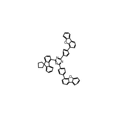 c1ccc2c(c1)-c1c(-c3nc(-c4ccc(-c5cccc6c5oc5ccccc56)cc4)nc(-c4ccc(-c5cccc6c5oc5ccccc56)cc4)n3)cccc1C21CCCC1